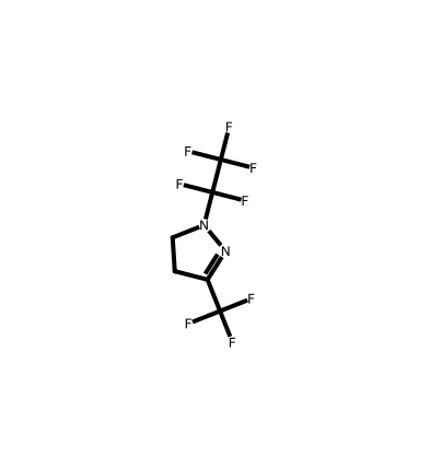 FC(F)(F)C1=NN(C(F)(F)C(F)(F)F)CC1